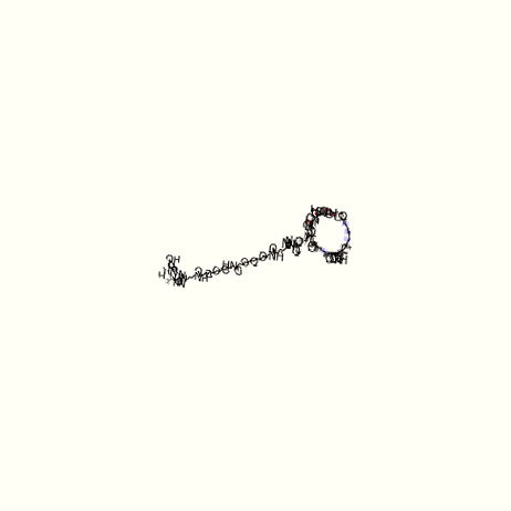 CO[C@H]1C[C@@H]2CC[C@@H](C)[C@@](O)(O2)C(=O)C(=O)N2CCCC[C@H]2C(=O)O[C@H]([C@H](C)C[C@@H]2CC[C@H](n3cc(CCCC(=O)NCCOCCOCCOCCC(=O)NCCOCCOCCOCCC(=O)NCCCCn4nc(-c5cc6cc(O)ccc6[nH]5)c5c(N)ncnc54)nn3)[C@H](OC)C2)C[C@@H](OC)[C@H](C)/C=C(\C)[C@@H](O)[C@@H](O)C(=O)[C@H](C)C[C@H](C)/C=C/C=C/C=C/1C